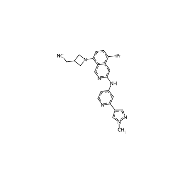 CC(C)c1ccc(N2CC(CC#N)C2)c2cnc(Nc3ccnc(-c4cnn(C)c4)c3)cc12